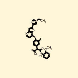 CCn1cnc(-c2cc3nccc(Oc4ccc(C(C(N)=O)C(=O)Nc5ccccc5OC)cc4F)c3s2)c1